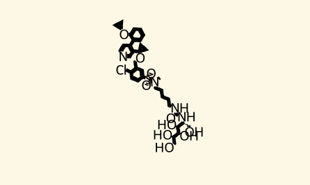 CN(CCCCCNC(=O)N[C@H](CO)[C@H](O)[C@@H](O)[C@@H](O)CO)S(=O)(=O)c1ccc(Cl)c(COC2(c3cnccc3-c3ccccc3OC3CC3)CC2)c1